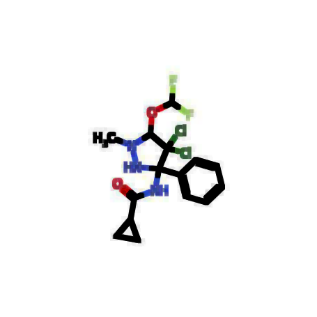 CN1NC(NC(=O)C2CC2)(c2ccccc2)C(Cl)(Cl)C1OC(F)F